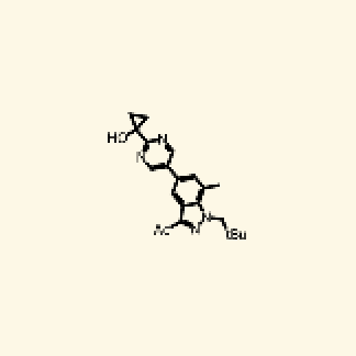 CC(=O)c1nn(CC(C)(C)C)c2c(C)cc(-c3cnc(C4(O)CC4)nc3)cc12